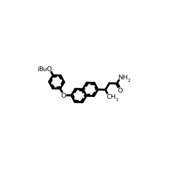 CC(C)COc1ccc(Oc2ccc3cc(C(C)CC(N)=O)ccc3c2)cc1